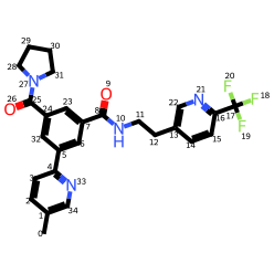 Cc1ccc(-c2cc(C(=O)NCCc3ccc(C(F)(F)F)nc3)cc(C(=O)N3CCCC3)c2)nc1